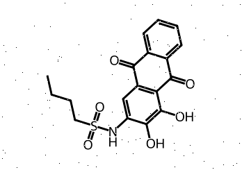 CCCCS(=O)(=O)Nc1cc2c(c(O)c1O)C(=O)c1ccccc1C2=O